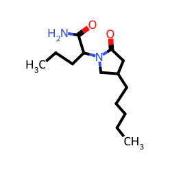 CCCCCC1CC(=O)N(C(CCC)C(N)=O)C1